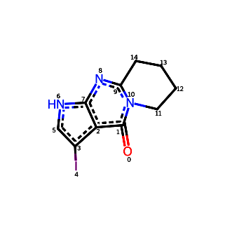 O=c1c2c(I)c[nH]c2nc2n1CCCC2